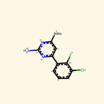 CNc1cc(-c2cccc(Cl)c2F)nc(N)n1